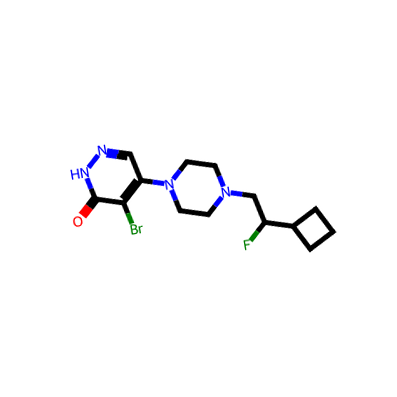 O=c1[nH]ncc(N2CCN(CC(F)C3CCC3)CC2)c1Br